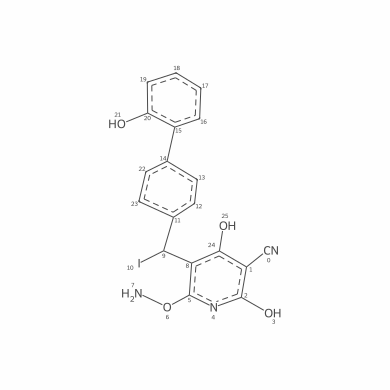 N#Cc1c(O)nc(ON)c(C(I)c2ccc(-c3ccccc3O)cc2)c1O